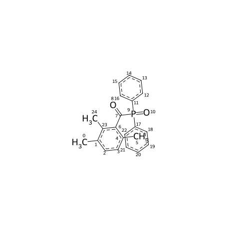 Cc1ccc(C)c(C(=O)P(=O)(c2ccccc2)c2ccccc2)c1C